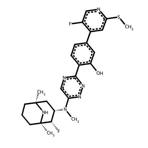 CSc1cc(-c2ccc(-c3ncc(N(C)[C@H]4C[C@]5(C)CCC[C@@](C)(N5)[C@H]4F)nn3)c(O)c2)c(F)cn1